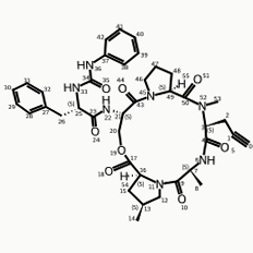 C#CC[C@H]1C(=O)N[C@@H](C)C(=O)N2C[C@@H](C)C[C@H]2C(=O)OC[C@H](NC(=O)[C@H](Cc2ccccc2)NC(=O)Nc2ccccc2)C(=O)N2CCC[C@H]2C(=O)N1C